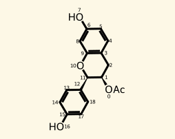 CC(=O)O[C@@H]1Cc2ccc(O)cc2O[C@@H]1c1ccc(O)cc1